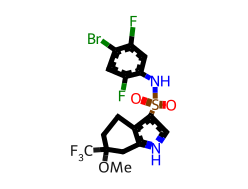 COC1(C(F)(F)F)CCc2c(S(=O)(=O)Nc3cc(F)c(Br)cc3F)c[nH]c2C1